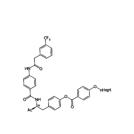 CCCCCCCOc1ccc(C(=O)Oc2ccc(C[C@H](NC(=O)c3ccc(NC(=O)Cc4cccc(C(F)(F)F)c4)cc3)C(C)=O)cc2)cc1